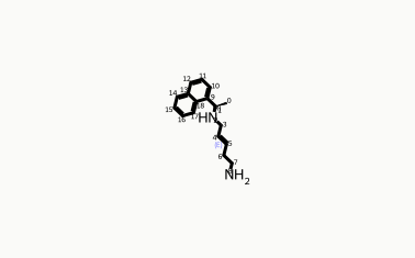 C[C@@H](NC/C=C/CCN)c1cccc2ccccc12